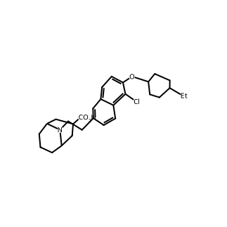 CCC1CCC(Oc2ccc3cc(CCN4C5CCCC4CC(C(=O)O)C5)ccc3c2Cl)CC1